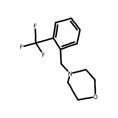 FC(F)(F)c1c[c]ccc1CN1CCOCC1